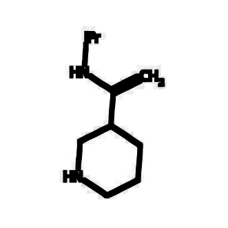 C=C(NC(C)C)C1CCCNC1